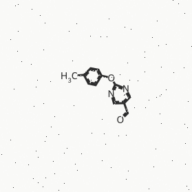 Cc1ccc(Oc2ncc(C=O)cn2)cc1